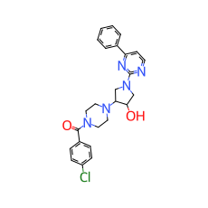 O=C(c1ccc(Cl)cc1)N1CCN(C2CN(c3nccc(-c4ccccc4)n3)CC2O)CC1